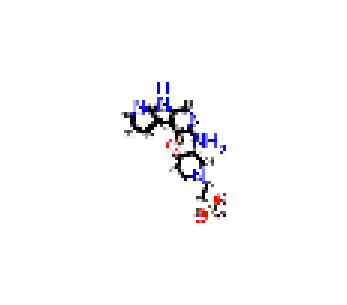 CS(=O)(=O)CCN1CCC(Oc2c(N)ncc3[nH]c4ncccc4c23)CC1